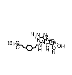 CC(C)(C)OC(=O)CCC1CCC(CCNc2nc(N)c3ncn([C@@H]4O[C@H](CO)C(O)C4O)c3n2)CC1